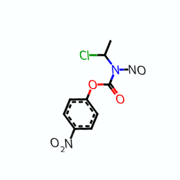 CC(Cl)N(N=O)C(=O)Oc1ccc([N+](=O)[O-])cc1